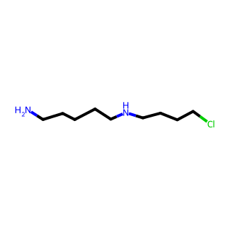 NCCCCCNCCCCCl